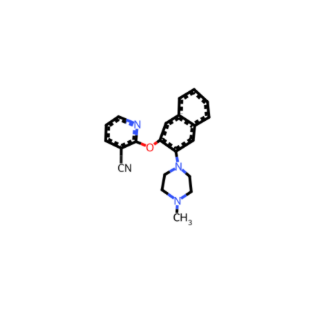 CN1CCN(c2cc3ccccc3cc2Oc2ncccc2C#N)CC1